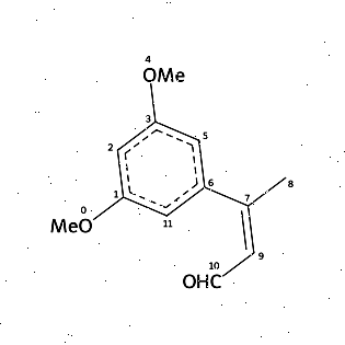 COc1cc(OC)cc(/C(C)=C\C=O)c1